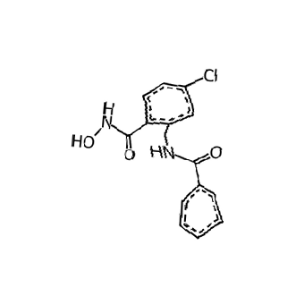 O=C(Nc1cc(Cl)ccc1C(=O)NO)c1ccccc1